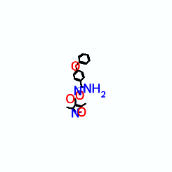 Cc1noc(C)c1C(=O)O/N=C(\N)c1ccc(Oc2ccccc2)cc1